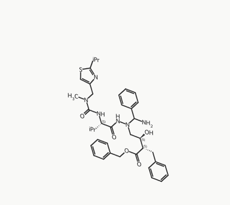 CC(C)c1nc(CN(C)C(=O)N[C@H](C(=O)NN(C[C@@H](O)[C@H](Cc2ccccc2)C(=O)OCc2ccccc2)C(N)c2ccccc2)C(C)C)cs1